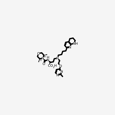 Cc1nccc(OCCN(CCCCc2ccc3c(n2)NCCC3)CC[C@H](NC(=O)N2[C@H](C)COC[C@@H]2C)C(=O)O)n1